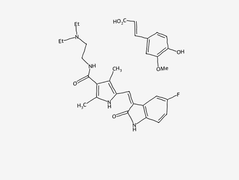 CCN(CC)CCNC(=O)c1c(C)[nH]c(C=C2C(=O)Nc3ccc(F)cc32)c1C.COc1cc(C=CC(=O)O)ccc1O